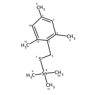 Cc1cc(C)c(C[S][Sn]([CH3])([CH3])[CH3])c(C)c1